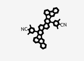 Cc1cc(-c2c3c(cc4c2ccc2c5cc6c(c(-c7cc(C)c(C#N)c(C)c7)c5ccc42)-c2cc4ccccc4c4cccc-6c24)-c2cc4ccccc4c4cccc-3c24)cc(C)c1C#N